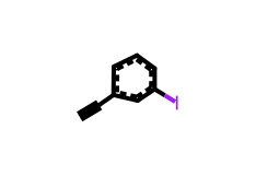 C#Cc1cccc(I)c1